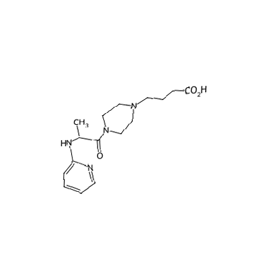 CC(Nc1ccccn1)C(=O)N1CCN(CCCC(=O)O)CC1